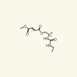 CCNC(=O)N[C@H](C)COC(=O)/C=C/C(=O)OC